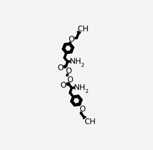 C#CCOc1ccc(CC(N)C(=O)OCOC(=O)C(N)Cc2ccc(OCC#C)cc2)cc1